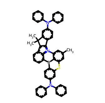 Cc1cc2c3c(c1)-n1c4c(c5cccc(c51)B3c1ccc(N(c3ccccc3)c3ccccc3)cc1S2)C(C)(C)c1cc(N(c2ccccc2)c2ccccc2)ccc1-4